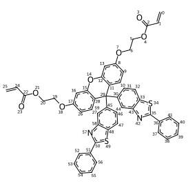 C=CC(=O)OCCOc1ccc2c(c1)Oc1cc(OCCOC(=O)C=C)ccc1C2(c1ccc2sc(-c3ccccc3)nc2c1)c1ccc2sc(-c3ccccc3)nc2c1